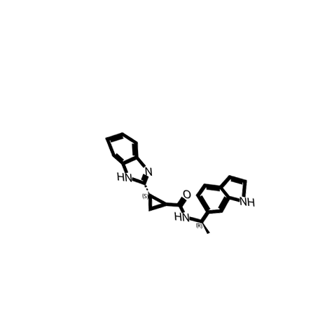 C[C@@H](NC(=O)C1C[C@@H]1c1nc2ccccc2[nH]1)c1ccc2cc[nH]c2c1